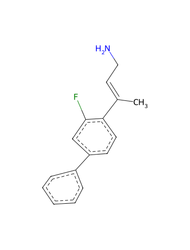 CC(=CCN)c1ccc(-c2ccccc2)cc1F